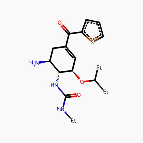 CCNC(=O)N[C@@H]1[C@@H](N)CC(C(=O)c2cccs2)=C[C@H]1OC(CC)CC